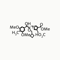 COC(=O)c1cn(C[C@H](OCC2CCC2)[C@H](O)c2cc(OC)c(C)c(OC)c2)cc1CC(=O)O